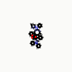 C#C/C=C\C(=C/C)N(C1=C/CC(c2ccccc2)(c2ccccc2)c2c(C#C)c(/C=C(\C)N(C3=CCCC=C3)c3ccccc3)c3ccccc3c2C(C)/C=C\1)c1ccccc1